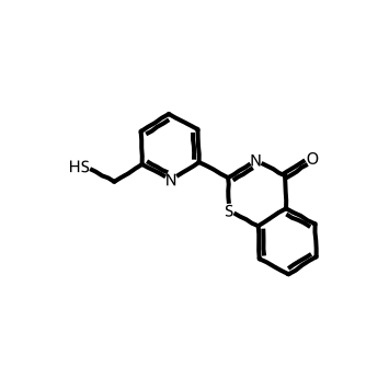 O=c1nc(-c2cccc(CS)n2)sc2ccccc12